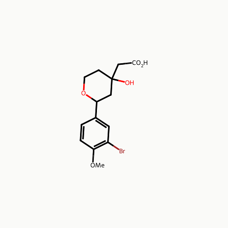 COc1ccc(C2CC(O)(CC(=O)O)CCO2)cc1Br